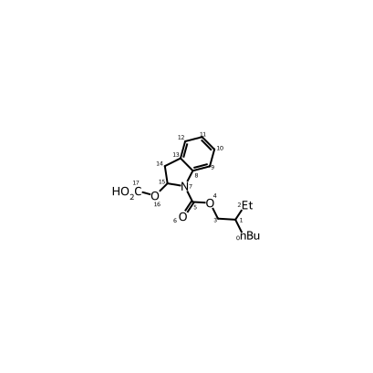 CCCCC(CC)COC(=O)N1c2ccccc2CC1OC(=O)O